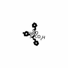 Cc1ccc(CS[C@H](CCc2ccccc2)[C@H](NC(=O)OCc2ccccc2)C(=O)O)cc1